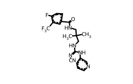 CC(C)(CNC(=O)c1ccc(F)c(C(F)(F)F)c1)CNC(=NC#N)Nc1cccnc1